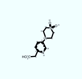 O=C(O)Cc1ccc(N2CCS(=O)(=O)CC2)cn1